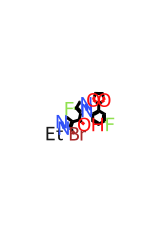 CCn1ncc(C(O)c2c(F)cnn2-c2ccc(F)cc2C2OCCO2)c1Br